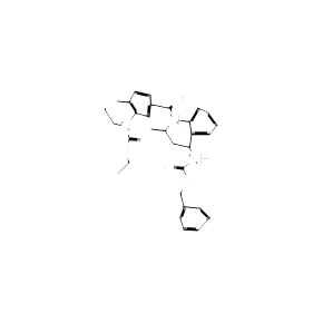 CCOC(=O)N1CCOc2ccc(C(=O)N3c4ccccc4C(NC(=O)OCc4ccccc4)CC3C)cc21